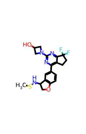 CSNC1COc2ccc(-c3nc(N4CC(O)C4)nc4c3CCC4(F)F)cc21